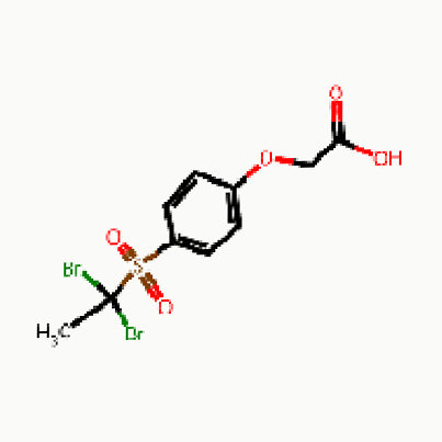 CC(Br)(Br)S(=O)(=O)c1ccc(OCC(=O)O)cc1